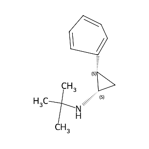 CC(C)(C)N[C@H]1C[C@H]1c1ccccc1